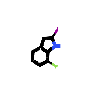 Fc1cccc2cc(I)[nH]c12